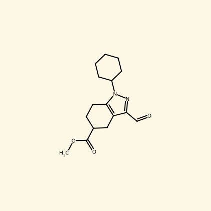 COC(=O)C1CCc2c(c(C=O)nn2C2CCCCC2)C1